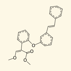 COC=C(C(=O)OC)c1ccccc1Oc1cccc(C=Cc2ccccc2)c1